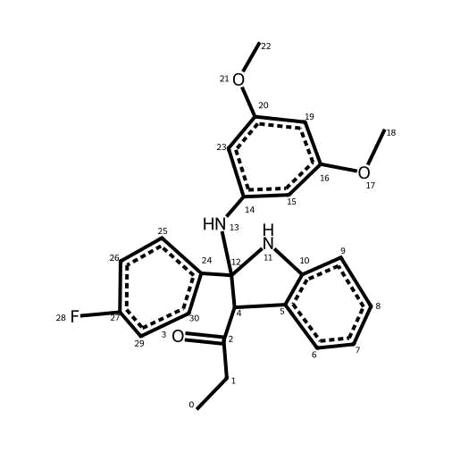 CCC(=O)C1c2ccccc2NC1(Nc1cc(OC)cc(OC)c1)c1ccc(F)cc1